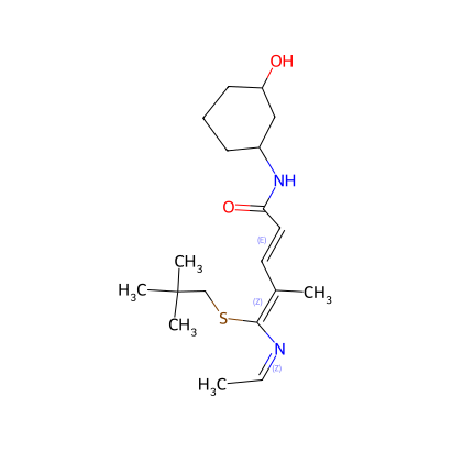 C\C=N/C(SCC(C)(C)C)=C(C)/C=C/C(=O)NC1CCCC(O)C1